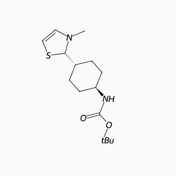 CN1C=CSC1[C@H]1CC[C@H](NC(=O)OC(C)(C)C)CC1